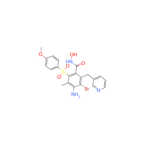 COc1ccc(S(=O)(=O)c2c(C)c(N)c(Br)c(Cc3cccnc3)c2C(=O)NO)cc1